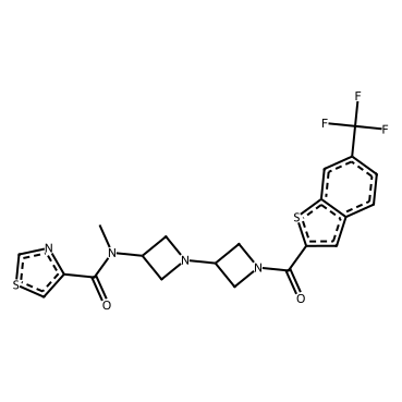 CN(C(=O)c1cscn1)C1CN(C2CN(C(=O)c3cc4ccc(C(F)(F)F)cc4s3)C2)C1